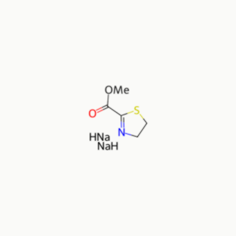 COC(=O)C1=NCCS1.[NaH].[NaH]